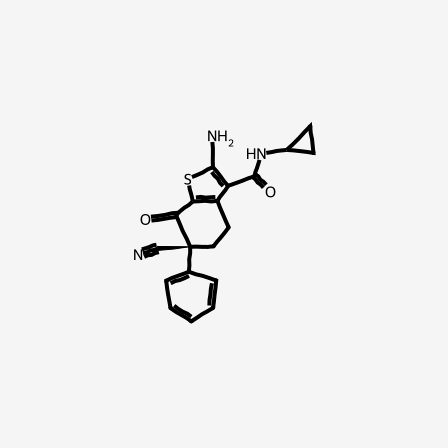 N#C[C@]1(c2ccccc2)CCc2c(sc(N)c2C(=O)NC2CC2)C1=O